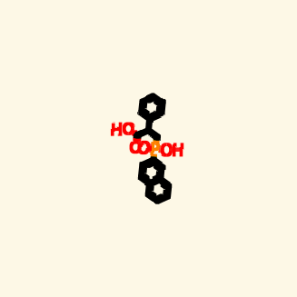 O=C(O)C(CP(=O)(O)c1ccc2ccccc2c1)c1ccccc1